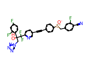 N#Cc1ccc(C[S+]([O-])c2ccc(C#Cc3ccc(C(F)(F)C(O)(Cn4cnnn4)c4ccc(F)cc4F)nc3)cc2)cc1F